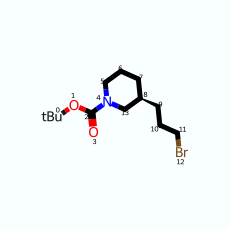 CC(C)(C)OC(=O)N1CCC[C@@H](CCCBr)C1